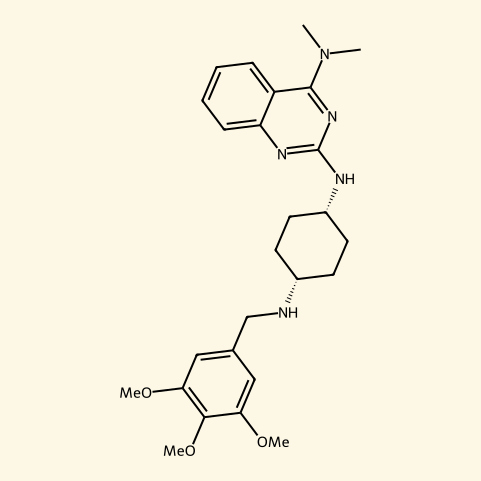 COc1cc(CN[C@H]2CC[C@@H](Nc3nc(N(C)C)c4ccccc4n3)CC2)cc(OC)c1OC